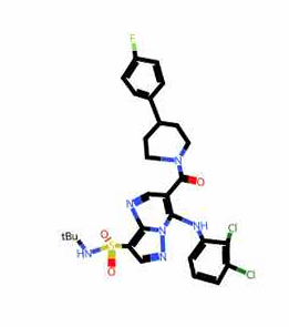 CC(C)(C)NS(=O)(=O)c1cnn2c(Nc3cccc(Cl)c3Cl)c(C(=O)N3CCC(c4ccc(F)cc4)CC3)cnc12